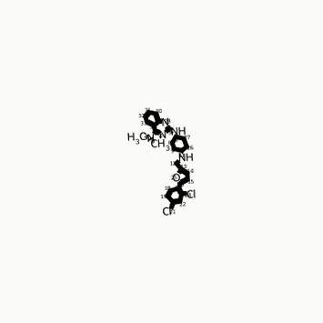 CN(C)c1nc(N[C@H]2CC[C@@H](NCc3ccc(-c4ccc(Cl)cc4Cl)o3)CC2)nc2ccccc12